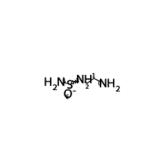 NCCN[S+](N)[O-]